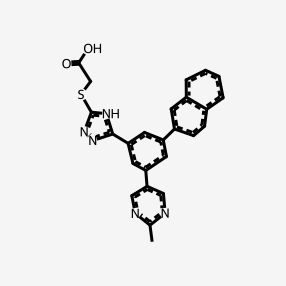 Cc1ncc(-c2cc(-c3ccc4ccccc4c3)cc(-c3nnc(SCC(=O)O)[nH]3)c2)cn1